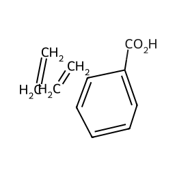 C=C.C=C.O=C(O)c1ccccc1